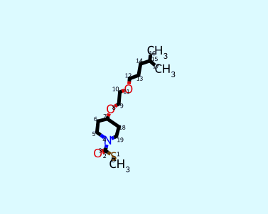 CSC(=O)N1CCC(OCCOCCCC(C)C)CC1